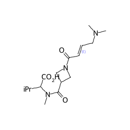 CC(C)C(C(=O)O)N(C)C(=O)C1CN(C(=O)/C=C/CN(C)C)C1